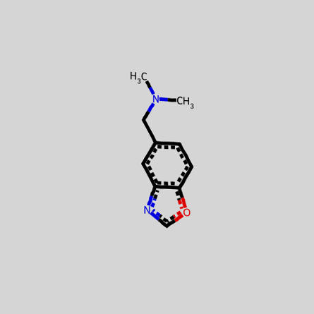 CN(C)Cc1ccc2ocnc2c1